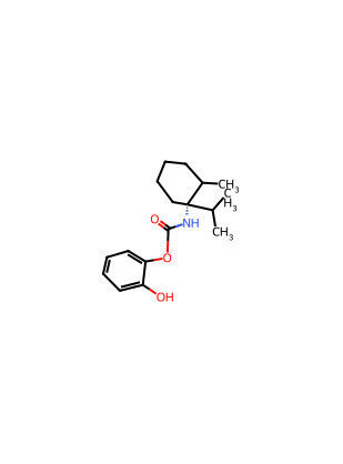 CC(C)[C@@]1(NC(=O)Oc2ccccc2O)CCCCC1C